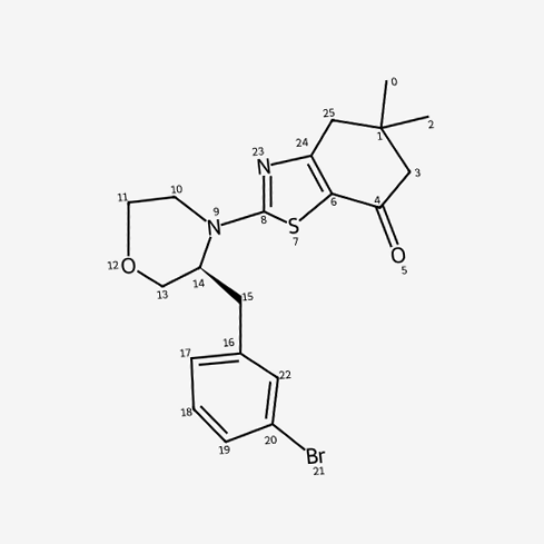 CC1(C)CC(=O)c2sc(N3CCOC[C@@H]3Cc3cccc(Br)c3)nc2C1